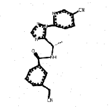 C[C@H](NC(=O)c1cccc(CC#N)c1)c1ncnn1-c1ccc(C#N)cn1